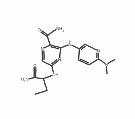 CCC(Nc1cnc(C(N)=O)c(Nc2ccc(N(C)C)nc2)n1)C(N)=O